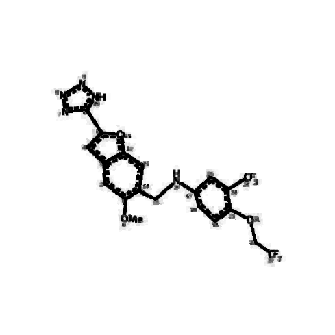 COc1cc2cc(-c3nnn[nH]3)oc2cc1CNc1ccc(OCC(F)(F)F)c(C(F)(F)F)c1